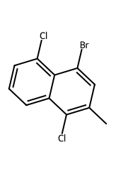 Cc1cc(Br)c2c(Cl)cccc2c1Cl